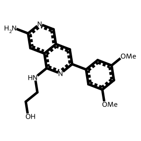 COc1cc(OC)cc(-c2cc3cnc(N)cc3c(NCCO)n2)c1